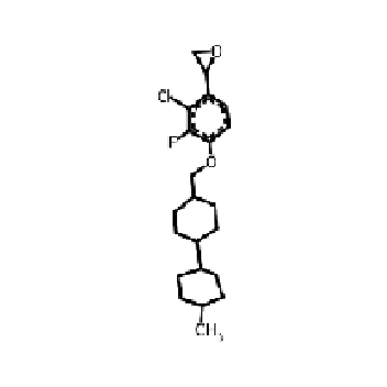 CC1CCC(C2CCC(COc3ccc(C4CO4)c(Cl)c3F)CC2)CC1